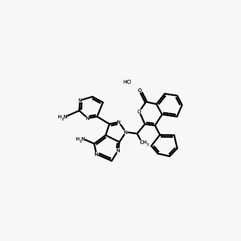 CC(c1oc(=O)c2ccccc2c1-c1ccccc1)n1nc(-c2ccnc(N)n2)c2c(N)ncnc21.Cl